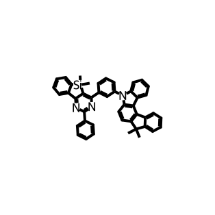 CC1(C)c2ccccc2-c2c1ccc1c2c2ccccc2n1-c1cccc(-c2nc(-c3ccccc3)nc3c2[Si](C)(C)c2ccccc2-3)c1